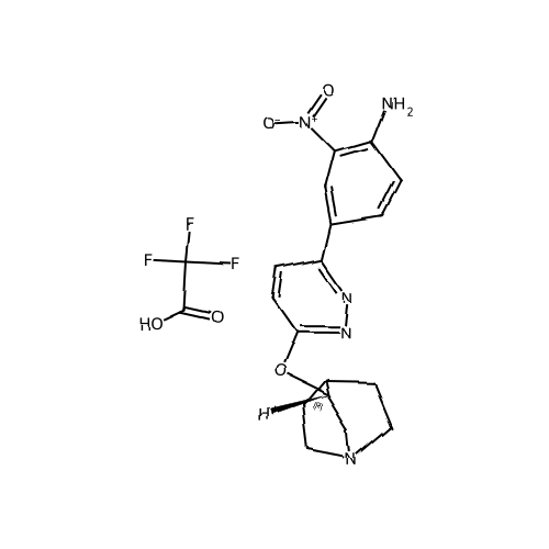 Nc1ccc(-c2ccc(O[C@H]3CN4CCC3CC4)nn2)cc1[N+](=O)[O-].O=C(O)C(F)(F)F